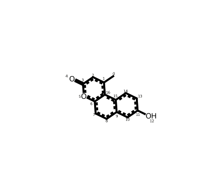 Cc1cc(=O)oc2ccc3cc(O)ccc3c12